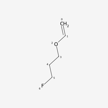 C=COCCCF